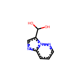 OC(O)c1cnc2cccnn12